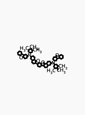 Cc1cc(N(c2ccc3c(ccc4c5ccc6c7ccc8cc(N(c9cc(C)c(C)c(C)c9)c9ccc%10oc%11ccccc%11c%10c9)ccc8c7oc6c5oc34)c2)c2ccc3oc4ccccc4c3c2)cc(C)c1C